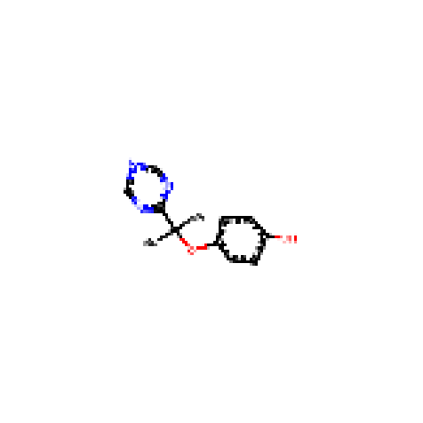 CCCCC(CCC)(Oc1ccc(O)cc1)c1ncncn1